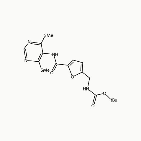 CSc1ncnc(SC)c1NC(=O)c1ccc(CNC(=O)OC(C)(C)C)o1